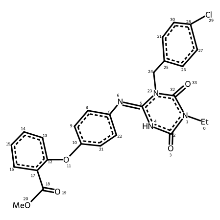 CCn1c(=O)[nH]/c(=N\c2ccc(Oc3ccccc3C(=O)OC)cc2)n(Cc2ccc(Cl)cc2)c1=O